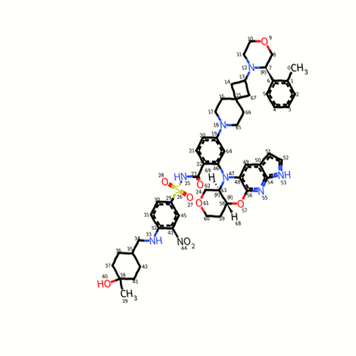 Cc1ccccc1[C@@H]1COCCN1C1CC2(CCN(c3ccc(C(=O)NS(=O)(=O)c4ccc(NCC5CCC(C)(O)CC5)c([N+](=O)[O-])c4)c(N4c5cc6cc[nH]c6nc5O[C@@H]5CCOC[C@H]54)c3)CC2)C1